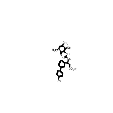 CCOC(=O)CC(NC(=O)Nc1c(O)c(C)cn(C)c1=O)c1cccc(-c2ccc(C(C)=O)cc2)c1